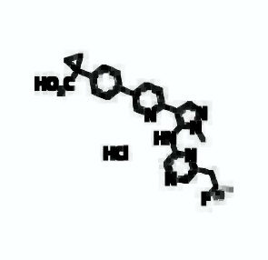 C[C@H](F)Cc1cncc(Nc2c(-c3ccc(-c4ccc(C5(C(=O)O)CC5)cc4)cn3)cnn2C)n1.Cl